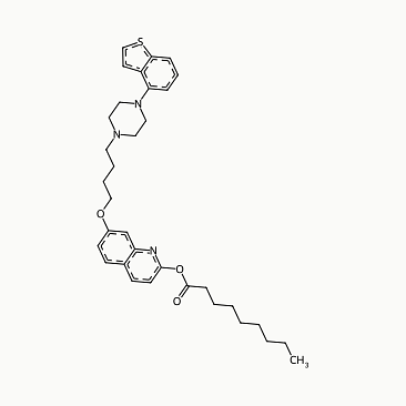 CCCCCCCCC(=O)Oc1ccc2ccc(OCCCCN3CCN(c4cccc5sccc45)CC3)cc2n1